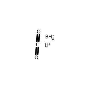 O=C=O.[BH4-].[Li+]